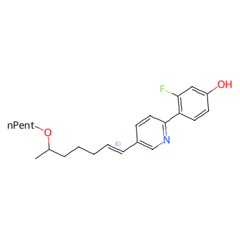 CCCCCOC(C)CCC/C=C/c1ccc(-c2ccc(O)cc2F)nc1